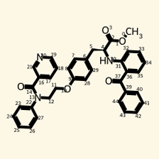 COC(=O)[C@H](Cc1ccc(OCCN(C(=O)c2cccnc2)c2ccccc2)cc1)Nc1ccccc1C(=O)c1ccccc1